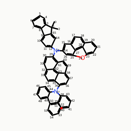 CC1(C)c2ccccc2-c2ccc(N(c3cc4ccc5cccc6oc(c3)c4c56)c3ccc4ccc5c(N(c6ccccc6)c6ccccc6-c6ccccc6)ccc6ccc3c4c65)cc21